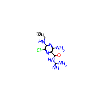 CC(C)(C)CNc1nc(N)c(C(=O)NC(=N)N)nc1Cl